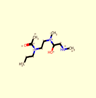 CCCN(CCN(C)C(O)CNC)C(C)=O